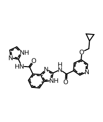 O=C(Nc1nc2c(C(=O)Nc3ncc[nH]3)cccc2[nH]1)c1cncc(OCC2CC2)c1